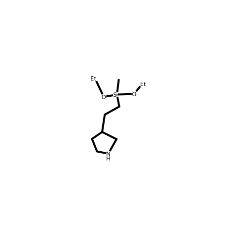 CCO[Si](C)(CCC1CCNC1)OCC